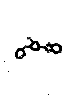 N#Cc1cc(-c2nc3cncnc3s2)ccc1Oc1cccnc1